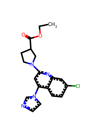 CCOC(=O)C1CCN(c2cc(-n3ccnc3)c3ccc(Cl)cc3n2)C1